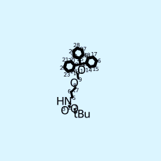 CC(C)(C)OC(=O)NC[CH]COCCOC(c1ccccc1)(c1ccccc1)c1ccccc1